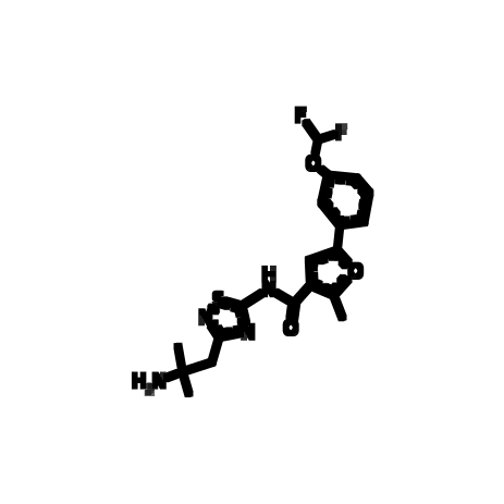 Cc1oc(-c2cccc(OC(F)F)c2)cc1C(=O)Nc1nc(CC(C)(C)N)ns1